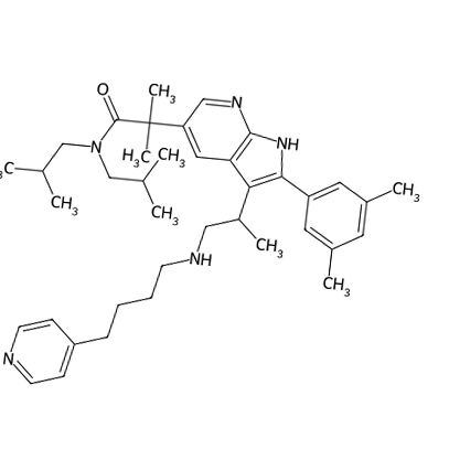 Cc1cc(C)cc(-c2[nH]c3ncc(C(C)(C)C(=O)N(CC(C)C)CC(C)C)cc3c2C(C)CNCCCCc2ccncc2)c1